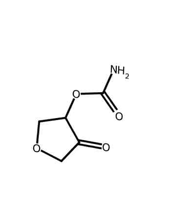 NC(=O)OC1COCC1=O